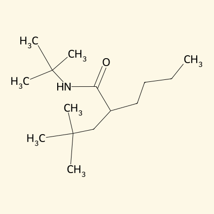 CCCCC(CC(C)(C)C)C(=O)NC(C)(C)C